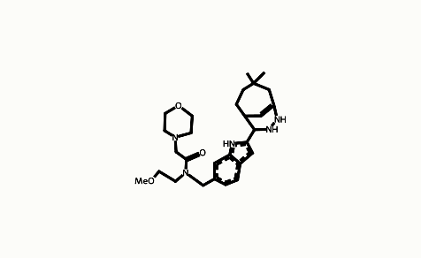 COCCN(Cc1ccc2cc(C3NNC4=CC3CCC(C)(C)C4)[nH]c2c1)C(=O)CN1CCOCC1